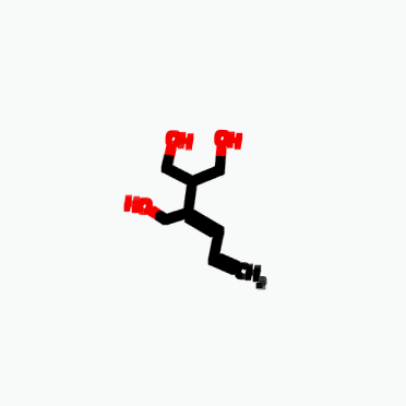 C=CC=C(CO)C(CO)CO